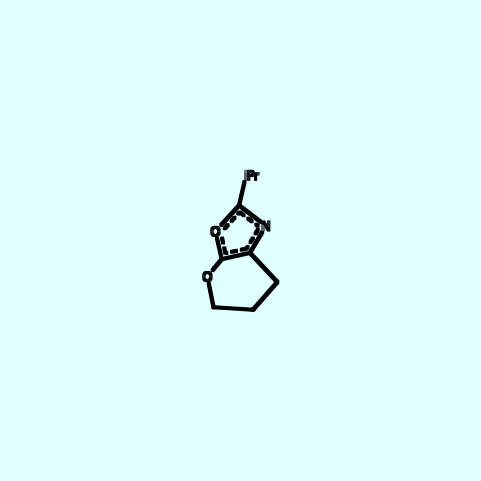 CC(C)c1nc2c(o1)OCCC2